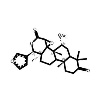 CC(=O)O[C@@H]1CC2C(C)(C)C(=O)CC[C@]2(C)C2CC[C@@]3(C)[C@@H](c4ccoc4)OC(=O)C4OC43[C@@]21C